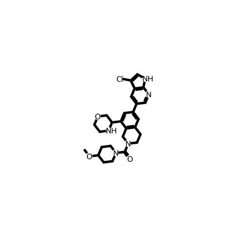 COC1CCN(C(=O)N2CCc3cc(-c4cnc5[nH]cc(Cl)c5c4)cc(C4COCCN4)c3C2)CC1